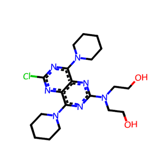 OCCN(CCO)c1nc(N2CCCCC2)c2nc(Cl)nc(N3CCCCC3)c2n1